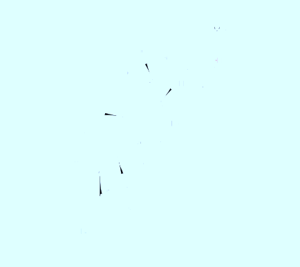 COCC1(O)CC[C@@]2(C)[C@H](CC[C@@H]3[C@@H]2CC[C@]2(C)[C@@H](C(=O)CBr)CC[C@@H]32)C1